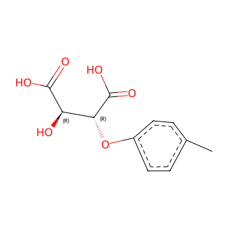 Cc1ccc(O[C@@H](C(=O)O)[C@@H](O)C(=O)O)cc1